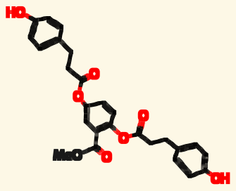 COC(=O)c1cc(OC(=O)CCc2ccc(O)cc2)ccc1OC(=O)CCc1ccc(O)cc1